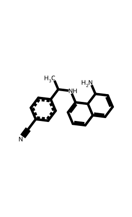 CC(NC1=CC=CC2=CC=CC(N)C21)c1ccc(C#N)cc1